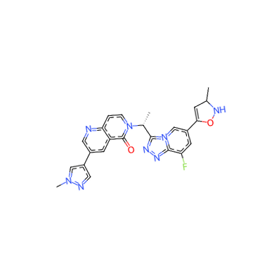 CC1C=C(c2cc(F)c3nnc([C@@H](C)n4ccc5ncc(-c6cnn(C)c6)cc5c4=O)n3c2)ON1